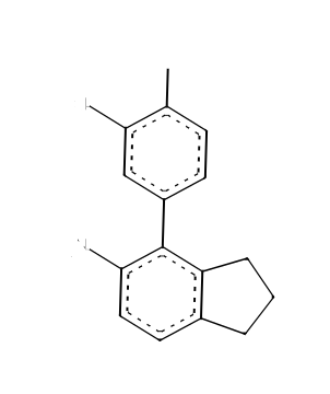 Nc1ccc2c(c1-c1ccc(F)c(Cl)c1)CCC2